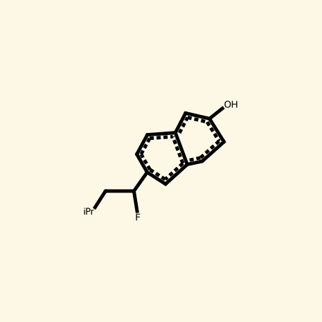 CC(C)CC(F)c1ccc2cc(O)ccc2c1